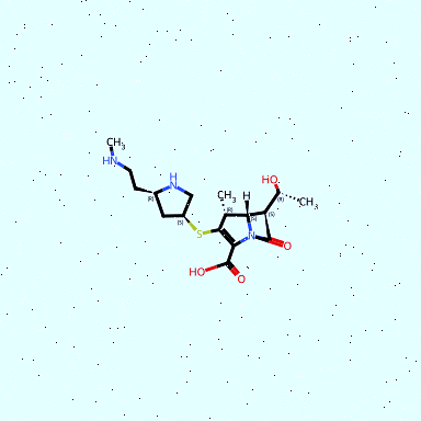 CNCC[C@@H]1C[C@H](SC2=C(C(=O)O)N3C(=O)[C@H]([C@@H](C)O)[C@H]3[C@H]2C)CN1